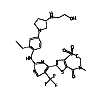 CCc1cc(N2CCC(NCCO)C2)ccc1Nc1ncc(C(F)(F)F)c(-c2cc3c(s2)C(=O)N(C)CCS3(=O)=O)n1